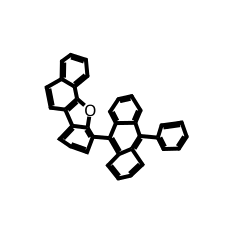 c1ccc(-c2c3ccccc3c(-c3cccc4c3oc3c5ccccc5ccc43)c3ccccc23)cc1